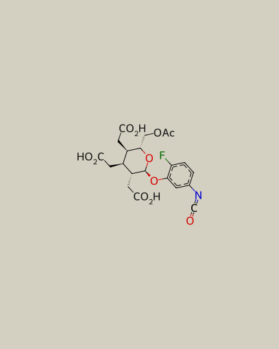 CC(=O)OC[C@@H]1O[C@@H](Oc2cc(N=C=O)ccc2F)[C@H](CC(=O)O)[C@@H](CC(=O)O)[C@H]1CC(=O)O